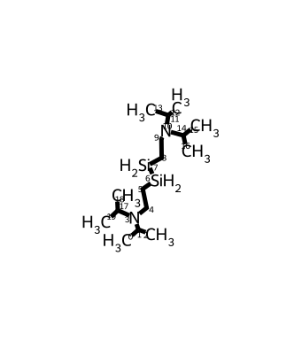 CC(C)N(CC[SiH2][SiH2]CCN(C(C)C)C(C)C)C(C)C